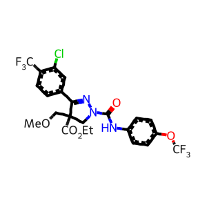 CCOC(=O)C1(COC)CN(C(=O)Nc2ccc(OC(F)(F)F)cc2)N=C1c1ccc(C(F)(F)F)c(Cl)c1